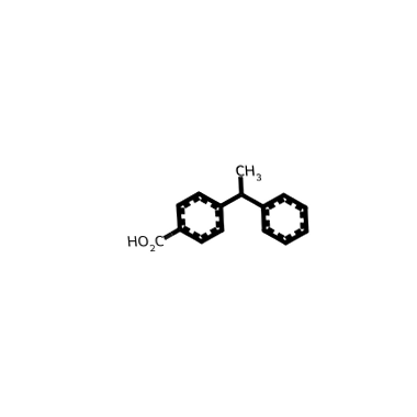 CC(c1ccccc1)c1ccc(C(=O)O)cc1